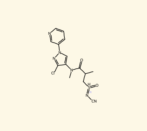 CC(C/[SH](=O)=N/C#N)C(=O)N(C)c1cn(-c2cccnc2)nc1Cl